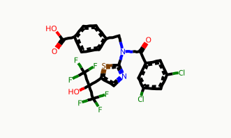 O=C(O)c1ccc(CN(C(=O)c2cc(Cl)cc(Cl)c2)c2ncc(C(O)(C(F)(F)F)C(F)(F)F)s2)cc1